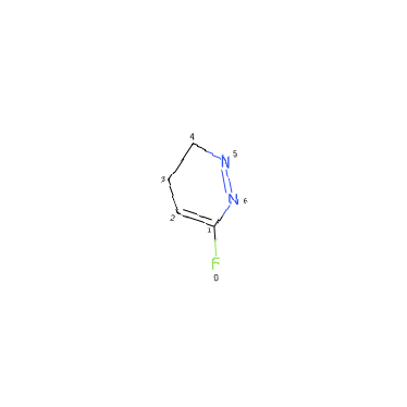 FC1=CCCN=N1